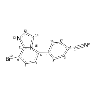 N#Cc1ccc(-c2ccc(Br)c3nccn23)cc1